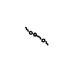 CCCCC[C@H]1CC[C@H](c2ccc(C#CC=C[C@H]3CC[C@H](CCCC)CC3)cc2)CC1